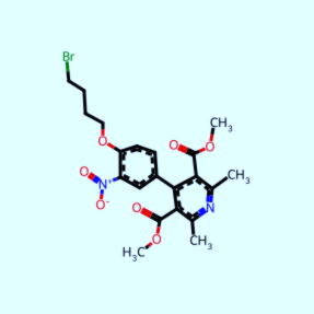 COC(=O)c1c(C)nc(C)c(C(=O)OC)c1-c1ccc(OCCCCBr)c([N+](=O)[O-])c1